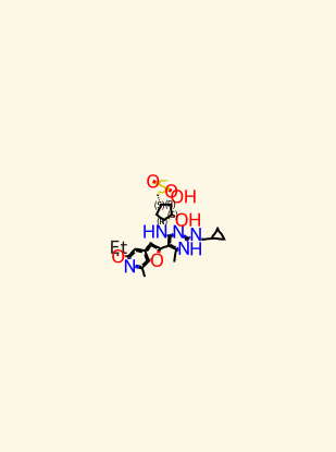 CCOc1cc2cc(-c3c(C)nc(NCC4CC4)nc3N[C@@H]3C[C@H](CS(C)(=O)=O)[C@@H](O)[C@H]3O)oc2c(C)n1